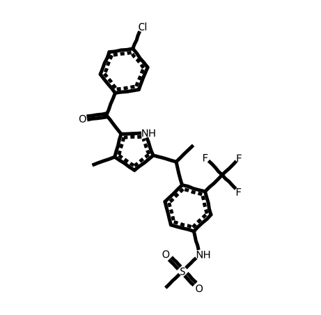 Cc1cc(C(C)c2ccc(NS(C)(=O)=O)cc2C(F)(F)F)[nH]c1C(=O)c1ccc(Cl)cc1